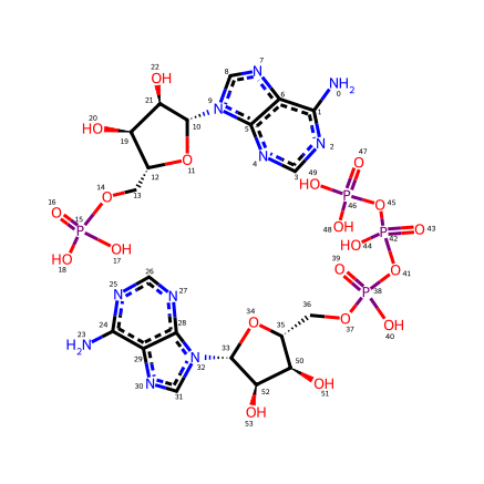 Nc1ncnc2c1ncn2[C@@H]1O[C@H](COP(=O)(O)O)[C@@H](O)[C@H]1O.Nc1ncnc2c1ncn2[C@@H]1O[C@H](COP(=O)(O)OP(=O)(O)OP(=O)(O)O)[C@@H](O)[C@H]1O